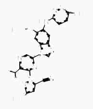 COc1cc2c(cc1Nc1ccc(C)nn1)ncn2-c1cnc(C(F)F)c(-n2nc(C)cc2C#N)n1